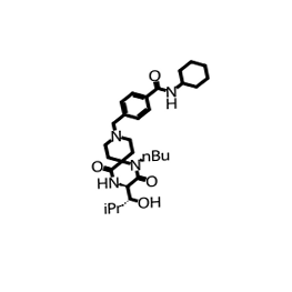 CCCCN1C(=O)[C@@H]([C@H](O)C(C)C)NC(=O)C12CCN(Cc1ccc(C(=O)NC3CCCCC3)cc1)CC2